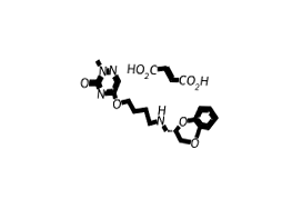 Cn1ncc(OCCCCNC[C@H]2COc3ccccc3O2)nc1=O.O=C(O)C=CC(=O)O